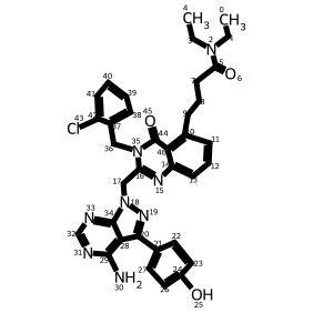 CCN(CC)C(=O)CCCc1cccc2nc(Cn3nc(-c4ccc(O)cc4)c4c(N)ncnc43)n(Cc3ccccc3Cl)c(=O)c12